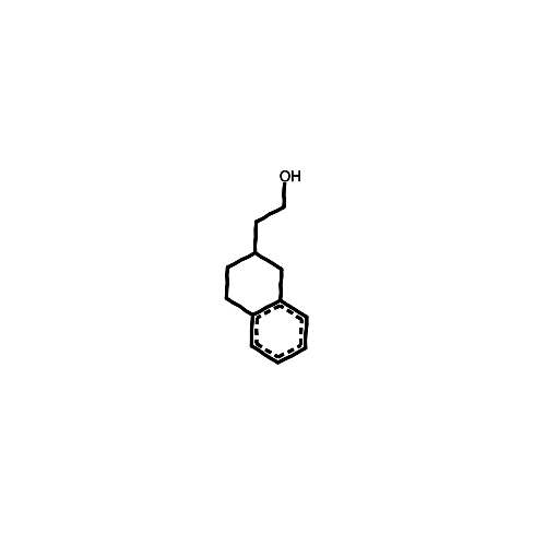 OCCC1CCc2ccccc2C1